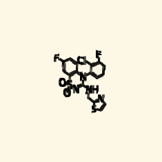 O=S1(=O)N=C(NCc2nccs2)N(c2cccc(F)c2Cl)c2ccc(F)cc21